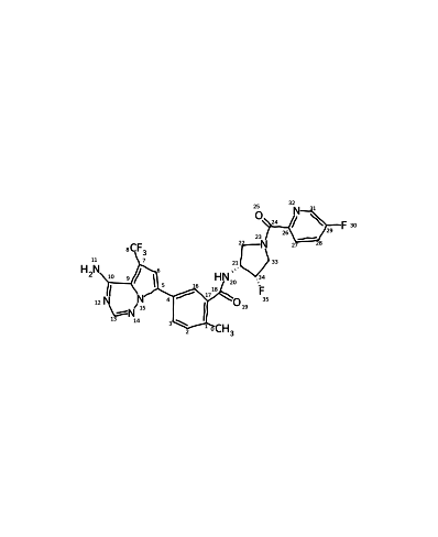 Cc1ccc(-c2cc(C(F)(F)F)c3c(N)ncnn23)cc1C(=O)N[C@@H]1CN(C(=O)c2ccc(F)cn2)C[C@@H]1F